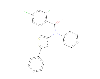 O=C(c1ccc(Cl)cc1Cl)N(c1ccccc1)c1csc(-c2ccccc2)c1